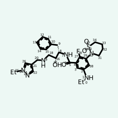 CCNc1cc(C(=O)N[C@@H](Cc2ccccc2)[C@H](O)CNCc2cnn(CC)c2)c(F)c(N2CCCCS2(=O)=O)c1